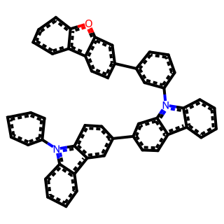 c1ccc(-n2c3ccccc3c3cc(-c4ccc5c6ccccc6n(-c6cccc(-c7ccc8c(c7)oc7ccccc78)c6)c5c4)ccc32)cc1